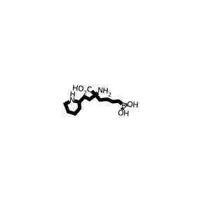 NC(CCCCB(O)O)(CCC1CCCCN1)C(=O)O